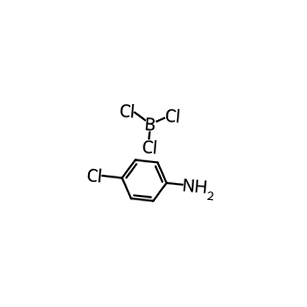 ClB(Cl)Cl.Nc1ccc(Cl)cc1